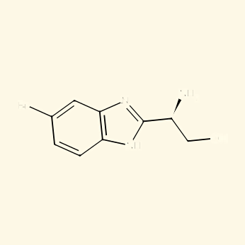 N[C@@H](CO)c1nc2cc(Br)ccc2[nH]1